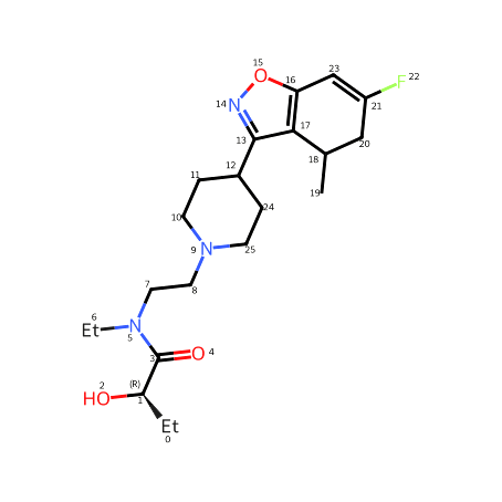 CC[C@@H](O)C(=O)N(CC)CCN1CCC(c2noc3c2C(C)CC(F)=C3)CC1